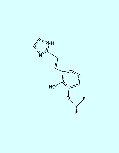 Oc1c(/C=C/c2ncc[nH]2)cccc1OC(F)F